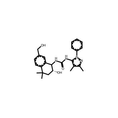 Cc1nn(-c2ccccc2)c(NC(=O)NC2c3cc(CO)ccc3C(C)(C)C[C@H]2O)c1C